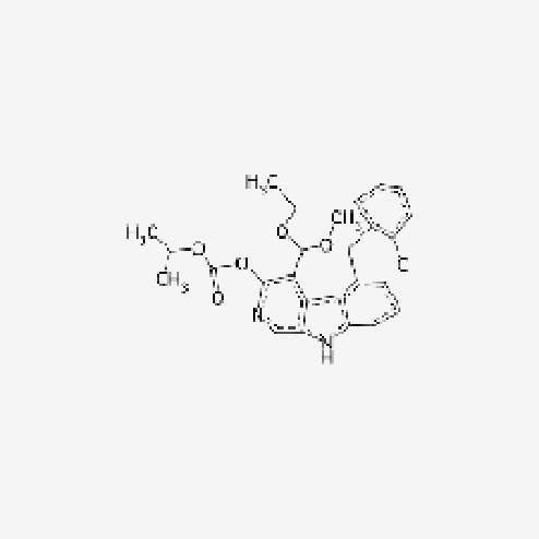 CCOC(OC)c1c(OC(=O)OC(C)C)ncc2[nH]c3cccc(Cc4ccccc4Cl)c3c12